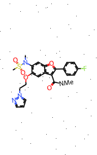 CNC(=O)c1c(-c2ccc(F)cc2)oc2cc(N(C)S(C)(=O)=O)c(OCCn3cccn3)cc12